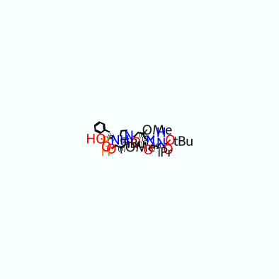 CC[C@H](C)[C@@H]([C@@H](CC(=O)N1CCC[C@H]1[C@H](OC)[C@@H](C)C(=O)N[C@@H](Cc1ccccc1)[PH](=O)O)OC)N(C)C(=O)[C@@H](NC(=O)OC(C)(C)C)C(C)C